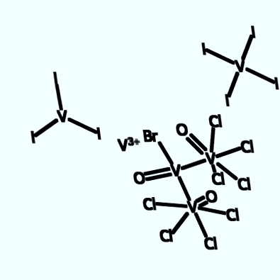 [I][V]([I])([I])[I].[I][V]([I])[I].[O]=[V]([Br])([V](=[O])([Cl])([Cl])([Cl])[Cl])[V](=[O])([Cl])([Cl])([Cl])[Cl].[V+3]